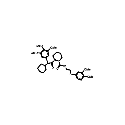 COc1ccc(OCCOC(=O)[C@@H]2CCCCN2C(=O)C(c2cc(OC)c(OC)c(OC)c2)C2CCCCC2)cc1OC